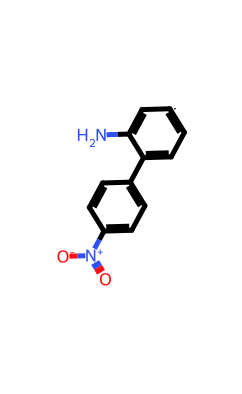 Nc1c[c]ccc1-c1ccc([N+](=O)[O-])cc1